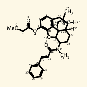 COCC(=O)Oc1ccc2c3c1OC1C(N(C)C(=O)/C=C/c4ccccc4)CC[C@H]4[C@@H](C2)N(C)CC[C@]314